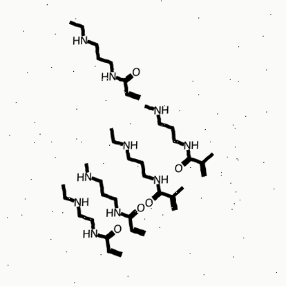 C=C(C)C(=O)NCCCNC.C=C(C)C(=O)NCCCNCC.C=CC(=O)NCCCNC.C=CC(=O)NCCCNCC.C=CC(=O)NCCNCC